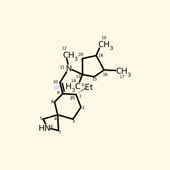 CC[C@@H]1CCC2(CNC2)C/C1=C/N(C)C1(C)CC(C)C(C)C1